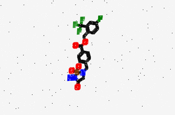 O=C1CN(Cc2ccc(C(=O)OCc3ccc(F)cc3C(F)(F)F)cc2)S(=O)(=O)N1